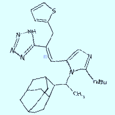 CCCCc1ncc(/C=C(\Cc2cccs2)c2nnn[nH]2)n1C(C)C1C2CC3CC(C2)CC1C3